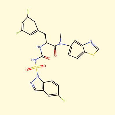 CN(C(=O)[C@H](CC1=CC(F)=CC(F)C1)NC(=O)NS(=O)(=O)n1ncc2cc(F)ccc21)c1ccc2scnc2c1